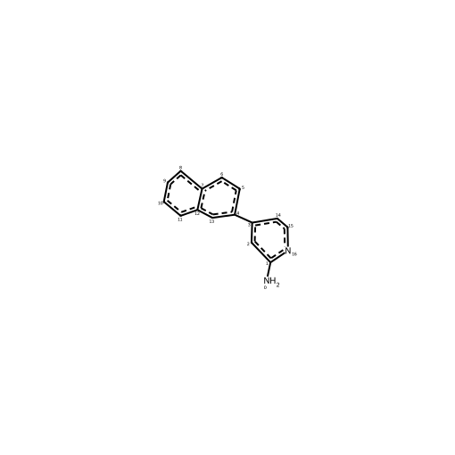 Nc1cc(-c2ccc3ccccc3c2)ccn1